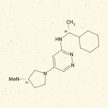 CN[C@H]1CCN(c2cnnc(N[C@H](C)C3CCCCC3)c2)C1